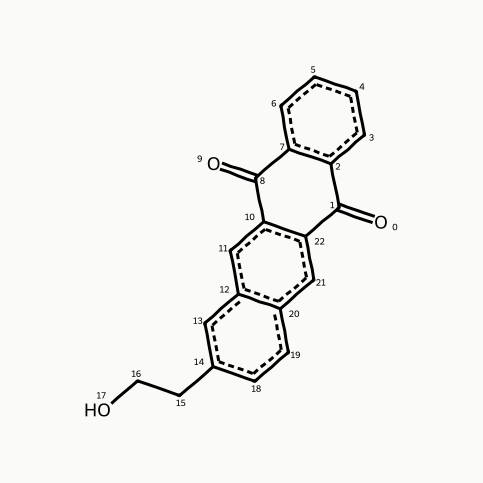 O=C1c2ccccc2C(=O)c2cc3cc(CCO)ccc3cc21